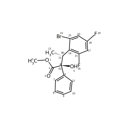 COC(=O)[C@@](O)(c1ccccc1)[C@H](C)c1c(F)cc(F)cc1Br